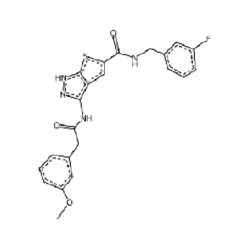 COc1cccc(CC(=O)Nc2n[nH]c3sc(C(=O)NCc4cccc(F)c4)cc23)c1